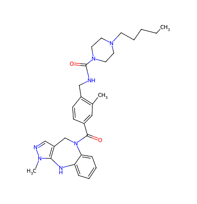 CCCCCN1CCN(C(=O)NCc2ccc(C(=O)N3Cc4cnn(C)c4Nc4ccccc43)cc2C)CC1